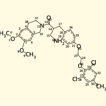 COc1cc2c(cc1OC)CN(C(=O)C(CN)Cc1ccc(OCCOc3c(Cl)cc(C)cc3Cl)cc1)CC2